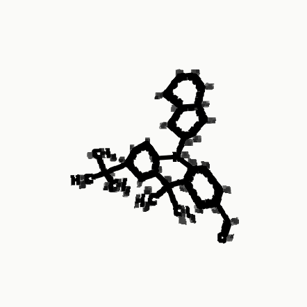 CC(C)(C)c1ccc2c(c1)C(C)(C)c1cc(C=O)ccc1N2c1ccc2ccccc2c1